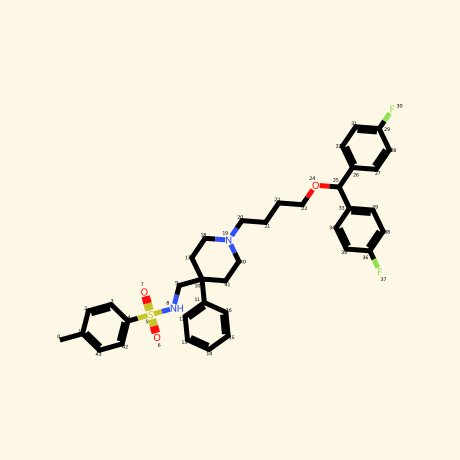 Cc1ccc(S(=O)(=O)NCC2(c3ccccc3)CCN(CCCCOC(c3ccc(F)cc3)c3ccc(F)cc3)CC2)cc1